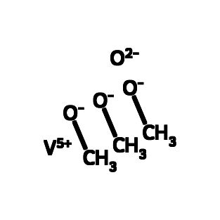 C[O-].C[O-].C[O-].[O-2].[V+5]